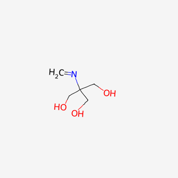 C=NC(CO)(CO)CO